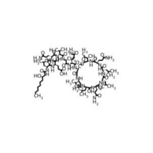 CCCCCCC[C@@H](O)CC(=O)N[C@@H](CC(C)C)C(=O)N[C@H](CCC(=O)O)C(=O)N[C@H](CCC(N)=O)C(=O)N[C@@H](C(=O)N[C@H](C)C(=O)N[C@@H](CCC(N)=O)C(=O)N[C@@H]1COC(=O)[C@H]([C@@H](C)CC)NC(=O)[C@@H](CCC(N)=O)NC(=O)[C@H](CC(C)C)NC(=O)[C@H](CC(C)C)NC(=O)[C@@H](CCC(N)=O)NC(=O)C(CC(C)C)NC(=O)[C@@H](C(C)C)NC2OC21)C(C)C